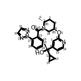 C[C@@H]1CC[C@@H](Oc2cc([C@@](C)(O)C3CC3)ccn2)CN1C(=O)c1ccccc1-n1nccn1